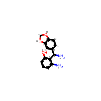 Nc1cccc(O)c1C(N)c1ccc2c(c1)OCO2